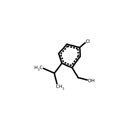 CC(C)c1ccc(Cl)cc1[CH]O